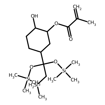 C=C(C)C(=O)OC1CC(C(C[SiH2]C)(O[Si](C)(C)C)O[Si](C)(C)C)CCC1O